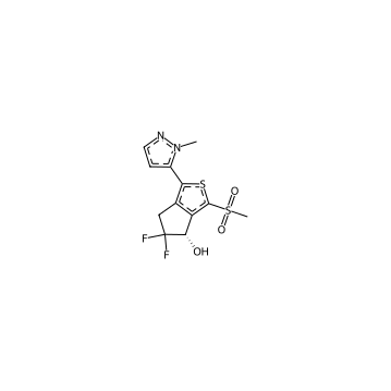 Cn1nccc1-c1sc(S(C)(=O)=O)c2c1CC(F)(F)[C@H]2O